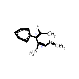 C=N/C=C(N)\C(=C(/C)F)c1ccccc1